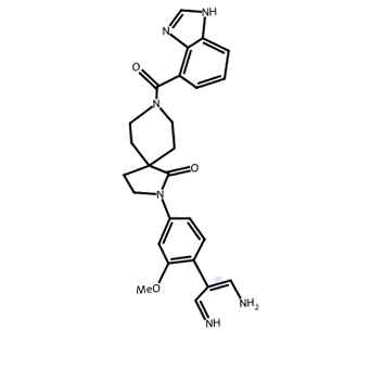 COc1cc(N2CCC3(CCN(C(=O)c4cccc5[nH]cnc45)CC3)C2=O)ccc1/C(C=N)=C/N